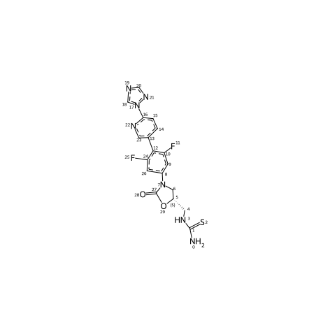 NC(=S)NC[C@H]1CN(c2cc(F)c(-c3ccc(-n4cncn4)nc3)c(F)c2)C(=O)O1